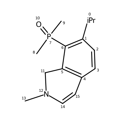 CC(C)c1ccc2c(c1P(C)(C)=O)CN(C)C=C2